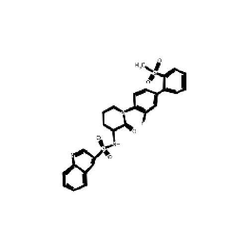 CS(=O)(=O)c1ccccc1-c1ccc(N2CCCC(NS(=O)(=O)c3cnc4ccccc4c3)C2=O)c(F)c1